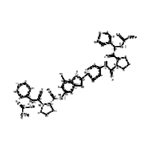 COC(=O)N[C@@H](C(=O)N1CCC[C@H]1C(=O)Nc1ccc(-c2cc3cc(NC(=O)[C@@H]4CCCN4C(=O)[C@H](NC(=O)OC)c4ccccc4)cc(C)c3o2)cc1)c1ccccc1